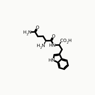 NC(=O)CC[C@H](N)C(=O)N[C@H](Cc1c[nH]c2ccccc12)C(=O)O